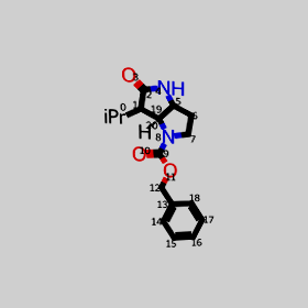 CC(C)C1C(=O)NC2CCN(C(=O)OCc3ccccc3)[C@H]21